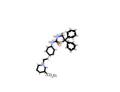 CCOC(=O)C1CCCN(CC[C@H]2CC[C@H](NC(=O)N[C@@H](C)C(C#N)(c3ccccc3)c3ccccc3)CC2)C1